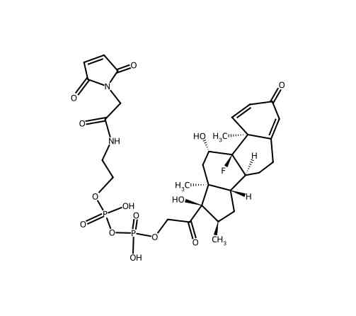 C[C@@H]1C[C@H]2[C@@H]3CCC4=CC(=O)C=C[C@]4(C)[C@@]3(F)[C@@H](O)C[C@]2(C)[C@@]1(O)C(=O)COP(=O)(O)OP(=O)(O)OCCNC(=O)CN1C(=O)C=CC1=O